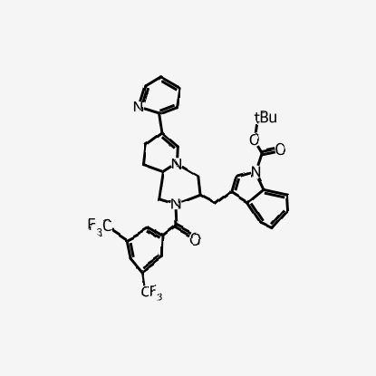 CC(C)(C)OC(=O)n1cc(CC2CN3C=C(c4ccccn4)CCC3CN2C(=O)c2cc(C(F)(F)F)cc(C(F)(F)F)c2)c2ccccc21